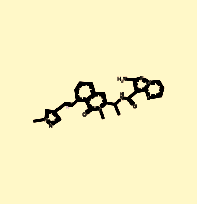 CC(NC(=O)c1c(N)nn2cccnc12)c1cc2cccc(/C=C/c3cnn(C)c3)c2c(=O)n1C